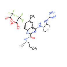 CCCC(C)NC(=O)c1nc(NC2CCCCC2NC(=N)N)c2cc(C)ccc2n1.O=C(O)C(F)(F)F.O=C(O)C(F)(F)F